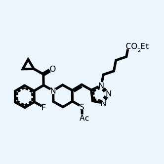 CCOC(=O)CCCCn1nncc1C=C1CN(C(C(=O)C2CC2)c2ccccc2F)CCC1SC(C)=O